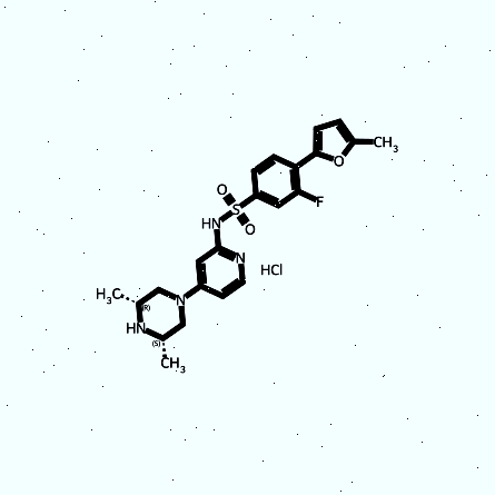 Cc1ccc(-c2ccc(S(=O)(=O)Nc3cc(N4C[C@@H](C)N[C@@H](C)C4)ccn3)cc2F)o1.Cl